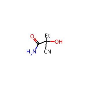 CCC(O)(C#N)C(N)=O